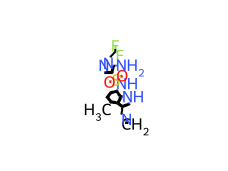 C=NCc1c[nH]c2c(NS(=O)(=O)c3cnn(CC(F)F)c3N)ccc(C)c12